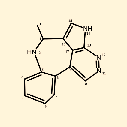 CC1Nc2ccccc2-c2cnnc3[nH]cc1c23